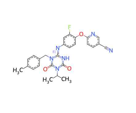 Cc1ccc(Cn2c(=O)n(C(C)C)c(=O)[nH]/c2=N\c2ccc(Oc3ccc(C#N)cn3)c(F)c2)cc1